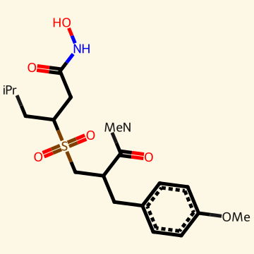 CNC(=O)C(Cc1ccc(OC)cc1)CS(=O)(=O)C(CC(=O)NO)CC(C)C